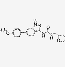 COc1ccc(-c2ccc3c(NC(=O)NCC4CCCO4)n[nH]c3c2)cc1